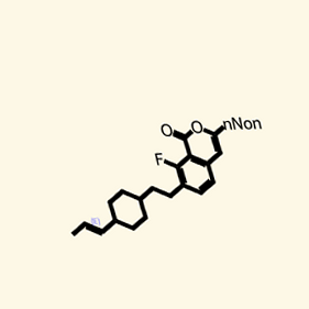 C/C=C/C1CCC(CCc2ccc3cc(CCCCCCCCC)oc(=O)c3c2F)CC1